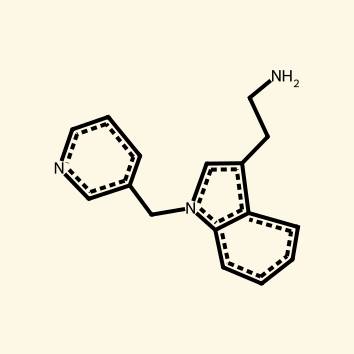 NCCc1cn(Cc2cccnc2)c2ccccc12